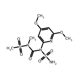 COc1cc(OC)nc(N(C(=O)N(C)S(C)(=O)=O)S(N)(=O)=O)c1